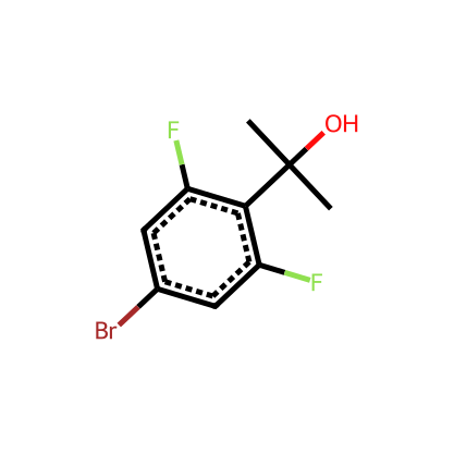 CC(C)(O)c1c(F)cc(Br)cc1F